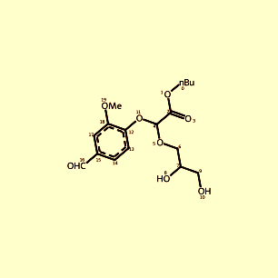 CCCCOC(=O)C(OCC(O)CO)Oc1ccc(C=O)cc1OC